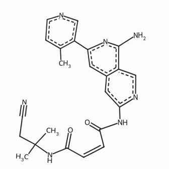 Cc1ccncc1-c1cc2cc(NC(=O)/C=C\C(=O)NC(C)(C)CC#N)ncc2c(N)n1